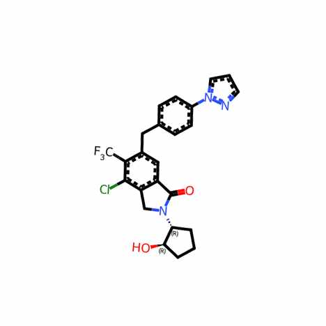 O=C1c2cc(Cc3ccc(-n4cccn4)cc3)c(C(F)(F)F)c(Cl)c2CN1[C@@H]1CCC[C@H]1O